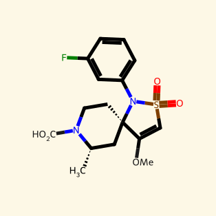 COC1=CS(=O)(=O)N(c2cccc(F)c2)[C@@]12CCN(C(=O)O)[C@@H](C)C2